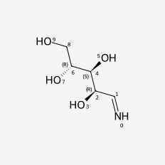 N=C[C@@H](O)[C@H](O)[C@H](O)CO